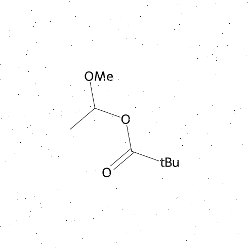 COC(C)OC(=O)C(C)(C)C